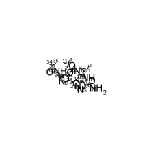 CC[C@H]1CN(C(=O)OC(C)(C)C)C[C@H]1Nc1c(C(N)=O)cnn2cc(-c3ccc(CNC(=O)C(C)C)nc3)cc12